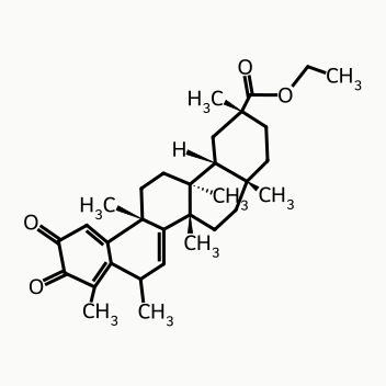 CCOC(=O)[C@]1(C)CC[C@]2(C)CC[C@]3(C)C4=CC(C)C5=C(C)C(=O)C(=O)C=C5[C@]4(C)CC[C@@]3(C)[C@@H]2C1